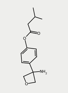 CC(C)CC(=O)Oc1ccc(C2(N)COC2)cc1